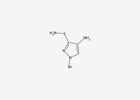 CC(C)n1cc(N)c(SN)n1